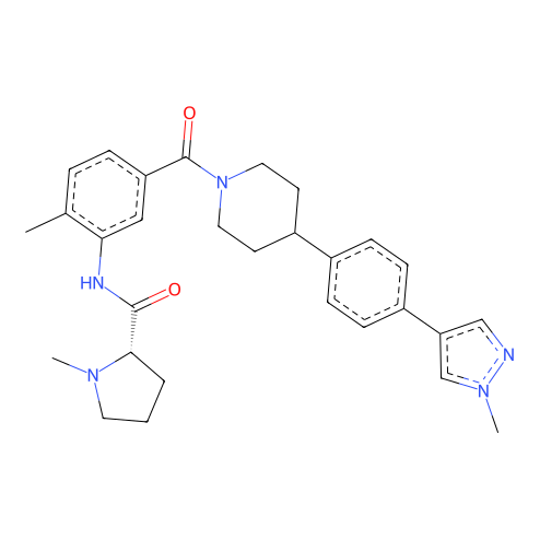 Cc1ccc(C(=O)N2CCC(c3ccc(-c4cnn(C)c4)cc3)CC2)cc1NC(=O)[C@@H]1CCCN1C